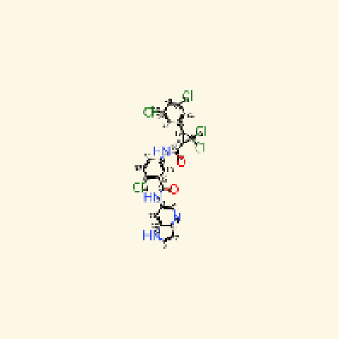 O=C(Nc1cnc2cc[nH]c2c1)c1cc(NC(=O)C2C(c3cc(Cl)cc(Cl)c3)C2(Cl)Cl)ccc1Cl